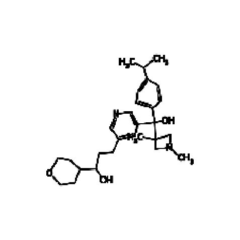 CC(C)c1ccc(C(O)(c2cncc(CCC(O)C3CCOCC3)c2)C2(C)CN(C)C2)cc1